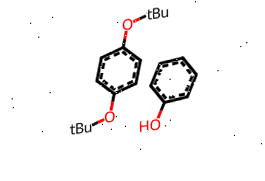 CC(C)(C)Oc1ccc(OC(C)(C)C)cc1.Oc1ccccc1